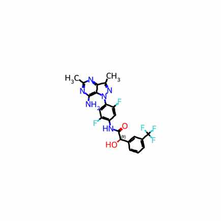 Cc1nc(N)c2c(n1)c(C)nn2-c1cc(F)c(NC(=O)[C@H](O)c2cccc(C(F)(F)F)c2)cc1F